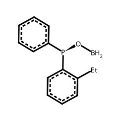 BO[P@](c1ccccc1)c1ccccc1CC